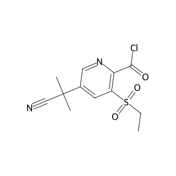 CCS(=O)(=O)c1cc(C(C)(C)C#N)cnc1C(=O)Cl